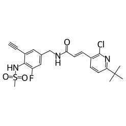 C#Cc1cc(CNC(=O)/C=C/c2ccc(C(C)(C)C)nc2Cl)cc(F)c1NS(C)(=O)=O